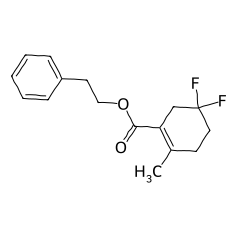 CC1=C(C(=O)OCCc2ccccc2)CC(F)(F)CC1